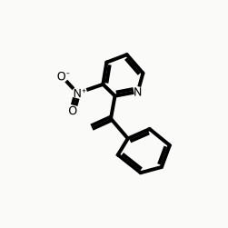 C=C(c1ccccc1)c1ncccc1[N+](=O)[O-]